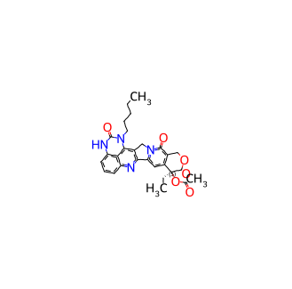 CCCCCN1C(=O)Nc2cccc3nc4c(c1c23)Cn1c-4cc2c(c1=O)COC(=O)[C@@]2(CC)OC(C)=O